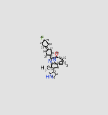 Cc1c(C2CCNC2)cc(C)c2c1nc(-c1ccc(-c3ccc(F)cc3)cc1)n2C(=O)C1CC1